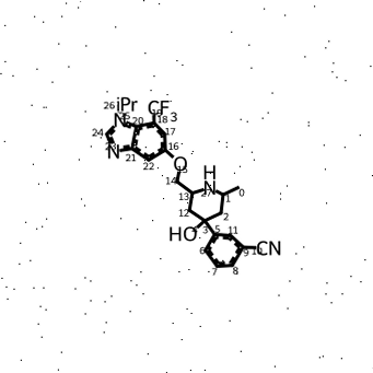 CC1CC(O)(c2cccc(C#N)c2)CC(COc2cc(C(F)(F)F)c3c(c2)ncn3C(C)C)N1